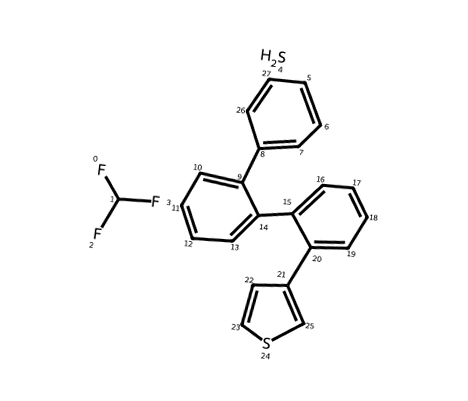 FC(F)F.S.c1ccc(-c2ccccc2-c2ccccc2-c2ccsc2)cc1